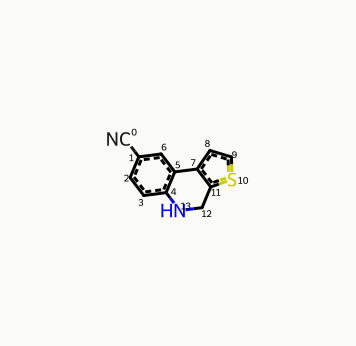 N#Cc1ccc2c(c1)-c1ccsc1CN2